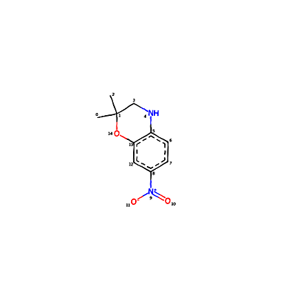 CC1(C)CNc2ccc([N+](=O)[O-])cc2O1